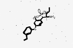 CCC[C@@](C)(N)[C@H](c1ccc(Sc2cccc(CC)c2)cc1Cl)P(=O)(O)O